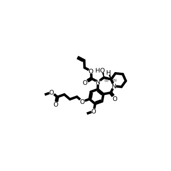 C=CCOC(=O)N1c2cc(OCCCC(=O)OC)c(OC)cc2C(=O)N2CCCC[C@H]2[C@@H]1O